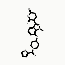 Cn1nc(C2CCC(=O)NC2=O)c2cccc(OC3CCN(C(=O)c4cccs4)CC3)c21